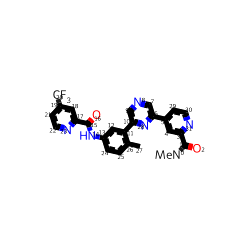 CNC(=O)c1cc(-c2cncc(-c3cc(NC(=O)c4cc(C(F)(F)F)ccn4)ccc3C)n2)ccn1